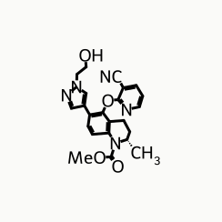 COC(=O)N1c2ccc(-c3cnn(CCO)c3)c(Oc3ncccc3C#N)c2CC[C@@H]1C